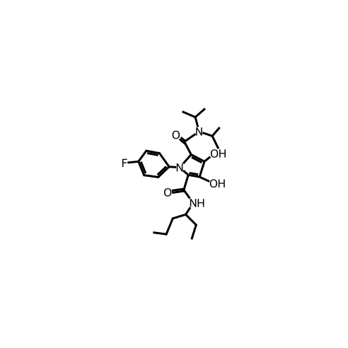 CCCC(CC)NC(=O)c1c(O)c(O)c(C(=O)N(C(C)C)C(C)C)n1-c1ccc(F)cc1